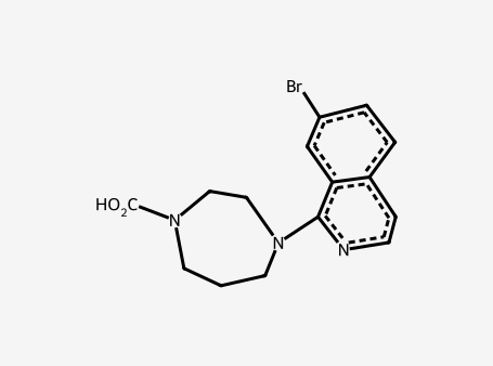 O=C(O)N1CCCN(c2nccc3ccc(Br)cc23)CC1